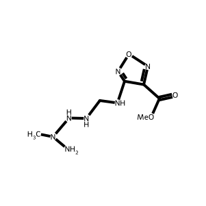 COC(=O)c1nonc1NCNNN(C)N